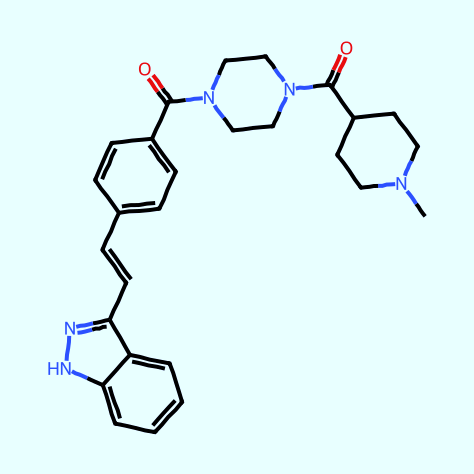 CN1CCC(C(=O)N2CCN(C(=O)c3ccc(C=Cc4n[nH]c5ccccc45)cc3)CC2)CC1